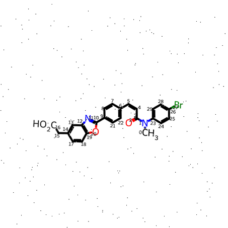 CN(C(=O)/C=C\c1ccc(-c2nc3cc(CC(=O)O)ccc3o2)cc1)c1ccc(Br)cc1